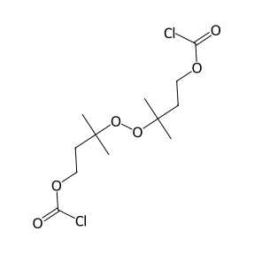 CC(C)(CCOC(=O)Cl)OOC(C)(C)CCOC(=O)Cl